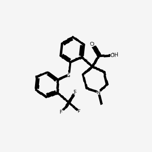 CN1CCC(C(=O)O)(c2ccccc2Sc2ccccc2C(F)(F)F)CC1